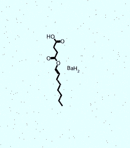 CCCCCCC=COC(=O)CCC(=O)O.[BaH2]